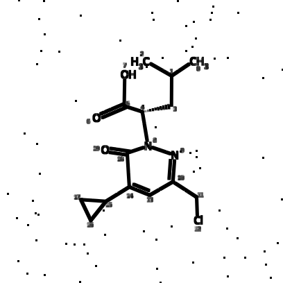 CC(C)C[C@@H](C(=O)O)n1nc(CCl)cc(C2CC2)c1=O